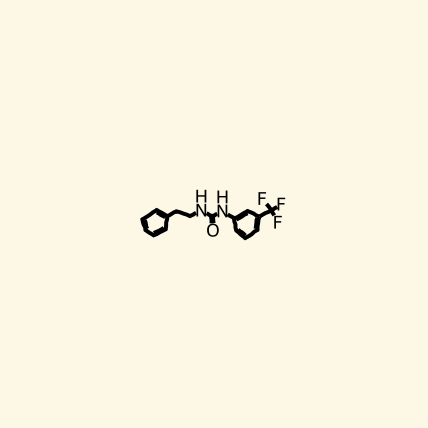 O=C(NCCc1ccccc1)Nc1cccc(C(F)(F)F)c1